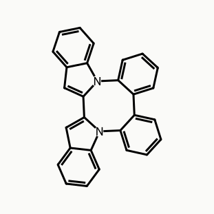 c1ccc2c(c1)cc1c3cc4ccccc4n3c3ccccc3c3ccccc3n21